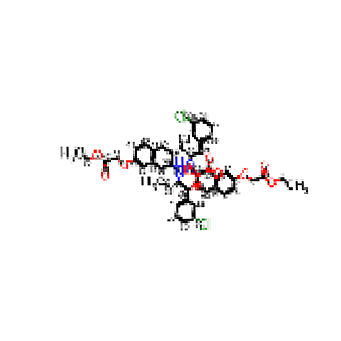 CCOC(=O)COc1ccc2c(c1)CC(N[C@@H](CC)[C@@H](OC(=O)C(=O)O[C@@H](c1cccc(Cl)c1)[C@H](CC)NC1CCc3ccc(OCC(=O)OCC)cc3C1)c1cccc(Cl)c1)CC2